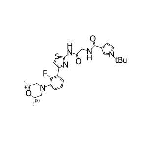 C[C@@H]1CN(c2cccc(-c3csc(NC(=O)CNC(=O)c4ccn(C(C)(C)C)c4)n3)c2F)C[C@H](C)O1